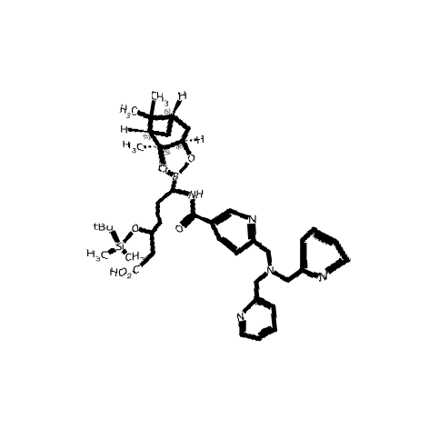 CC1(C)[C@@H]2C[C@H]3OB(C(CCC(CC(=O)O)O[Si](C)(C)C(C)(C)C)NC(=O)c4ccc(CN(Cc5ccccn5)Cc5ccccn5)nc4)O[C@@]3(C)[C@H]1C2